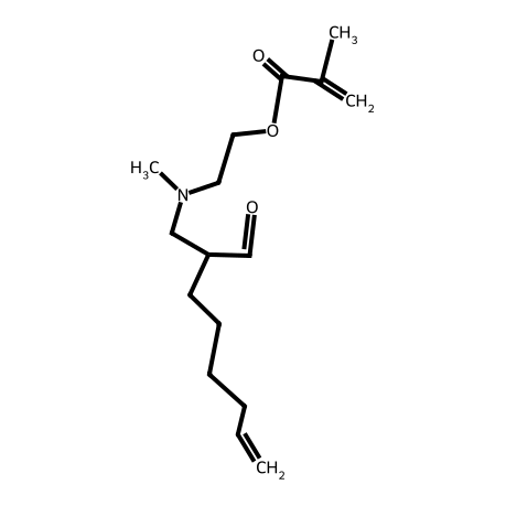 C=CCCCCC(C=O)CN(C)CCOC(=O)C(=C)C